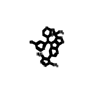 Cc1nnn(C)c1-c1cnc2c3onc(C(C)(C)O)c3n(C(c3cc(Cl)ccn3)C3CCOCC3)c2c1